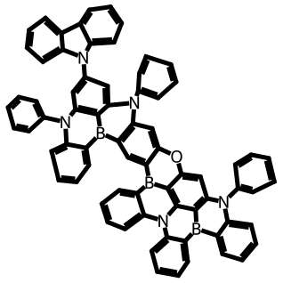 c1ccc(N2c3ccccc3B3c4cc5c(cc4N(c4ccccc4)c4cc(-n6c7ccccc7c7ccccc76)cc2c43)Oc2cc3c4c6c2B5c2ccccc2N6c2ccccc2B4c2ccccc2N3c2ccccc2)cc1